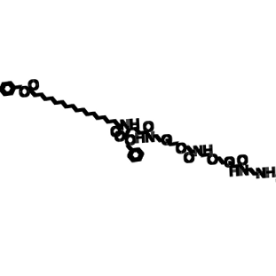 NCCNC(=O)COCCOCCNC(=O)COCCOCCNC(=O)CC[C@H](NC(=O)CCCCCCCCCCCCCCCCC(=O)OCc1ccccc1)C(=O)OCc1ccccc1